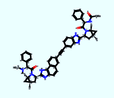 COC(=O)N[C@@H](C(=O)N1[C@@H]2C[C@H]2C[C@H]1c1nc2cc(C#Cc3ccc4c(ccc5nc([C@@H]6C[C@H]7C[C@H]7N6C(=O)[C@@H](c6ccccc6)N(C)C(=O)O)[nH]c54)c3)ccc2[nH]1)c1ccccc1